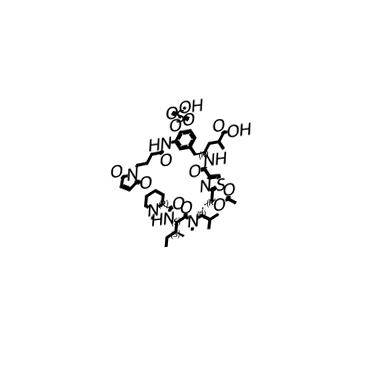 CC[C@H](C)[C@H](NC(=O)[C@H]1CCCCN1C)C(=O)N(C)[C@H](C[C@@H](OC(C)=O)c1nc(C(=O)N[C@@H](Cc2ccc(OS(=O)(=O)O)c(NC(=O)CCCN3C(=O)C=CC3=O)c2)CC(C)C(=O)O)cs1)C(C)C